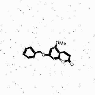 COc1cc(OCc2ccccc2)cc2oc(=O)ccc12